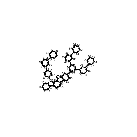 c1ccc(-c2cccc(-c3ccc(-n4c5ccccc5c5ccc6c7ccc(-c8nc(-c9cccc(-c%10ccccc%10)c9)nc(-c9cccc(-c%10ccccc%10)c9)n8)cc7oc6c54)cc3)c2)cc1